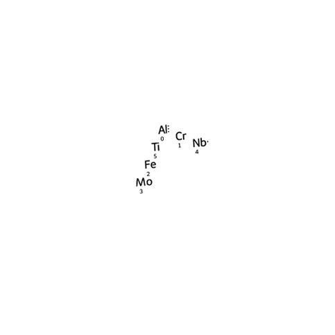 [Al].[Cr].[Fe].[Mo].[Nb].[Ti]